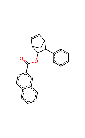 O=C(OC1C2C=CC(C2)C1c1ccccc1)c1ccc2ccccc2c1